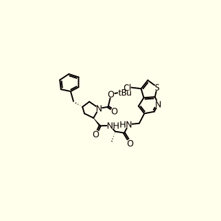 C[C@H](NC(=O)[C@H]1C[C@H](Cc2ccccc2)CN1C(=O)OC(C)(C)C)C(=O)NCc1cnc2scc(Cl)c2c1